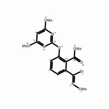 CC/C(=N\OC)c1cccc(Oc2nc(OC)cc(OC)n2)c1C(=O)OC